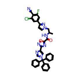 CC(Cn1ccc(-c2cc(F)c(C#N)c(Cl)c2)n1)NC(=O)c1nc(-c2cn(C(c3ccccc3)(c3ccccc3)c3ccccc3)cn2)no1